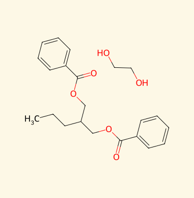 CCCC(COC(=O)c1ccccc1)COC(=O)c1ccccc1.OCCO